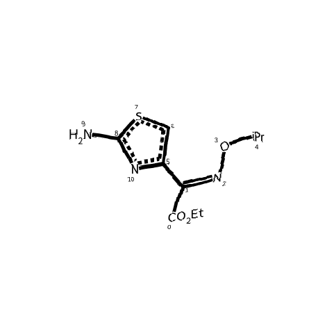 CCOC(=O)/C(=N/OC(C)C)c1csc(N)n1